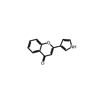 O=c1cc(-c2cc[nH]c2)oc2ccccc12